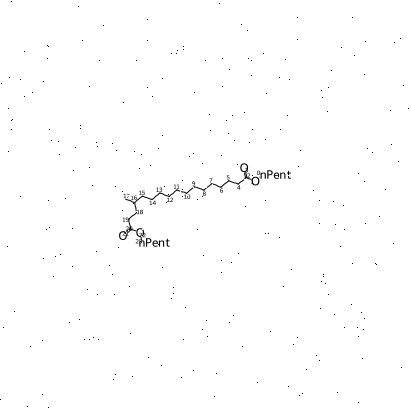 CCCCCOC(=O)CCCCCCCCCCCCC(C)CCC(=O)OCCCCC